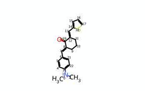 CN(C)c1ccc(C=C2CCCC(=Cc3cccs3)C2=O)cc1